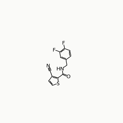 N#Cc1ccsc1C(=O)NCc1ccc(F)c(F)c1